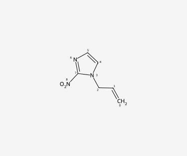 C=CCn1[c]cnc1[N+](=O)[O-]